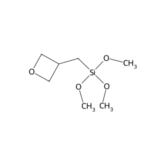 CO[Si](CC1COC1)(OC)OC